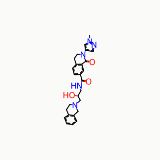 Cn1cc(N2CCc3ccc(C(=O)NC[C@H](O)CN4CCc5ccccc5C4)cc3C2=O)cn1